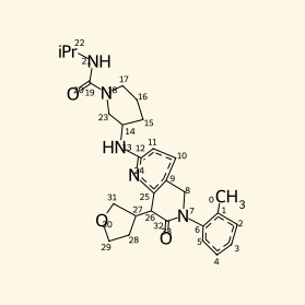 Cc1ccccc1N1Cc2ccc(NC3CCCN(C(=O)NC(C)C)C3)nc2C(C2CCOC2)C1=O